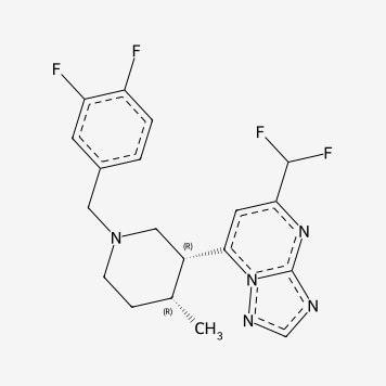 C[C@@H]1CCN(Cc2ccc(F)c(F)c2)C[C@@H]1c1cc(C(F)F)nc2ncnn12